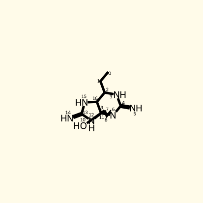 CCC1NC(=N)N2CCC(O)C23NC(=N)NC13